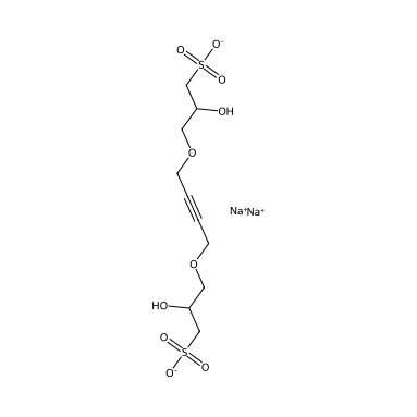 O=S(=O)([O-])CC(O)COCC#CCOCC(O)CS(=O)(=O)[O-].[Na+].[Na+]